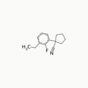 CCc1cccc(C2(C#N)CCCC2)c1F